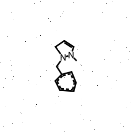 CN1C=CCN1Cc1ccccc1